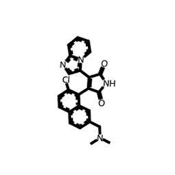 CN(C)Cc1ccc2ccc(Cl)c(C3=C(c4cnc5ccccn45)C(=O)NC3=O)c2c1